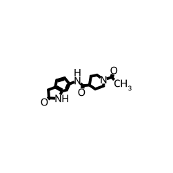 CC(=O)N1CCC(C(=O)Nc2ccc3c(c2)NC(=O)C3)CC1